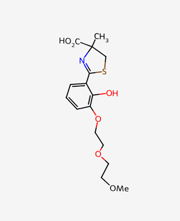 COCCOCCOc1cccc(C2=NC(C)(C(=O)O)CS2)c1O